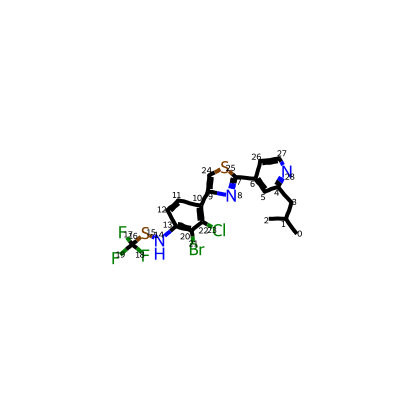 CC(C)Cc1cc(-c2nc(-c3ccc(NSC(F)(F)F)c(Br)c3Cl)cs2)ccn1